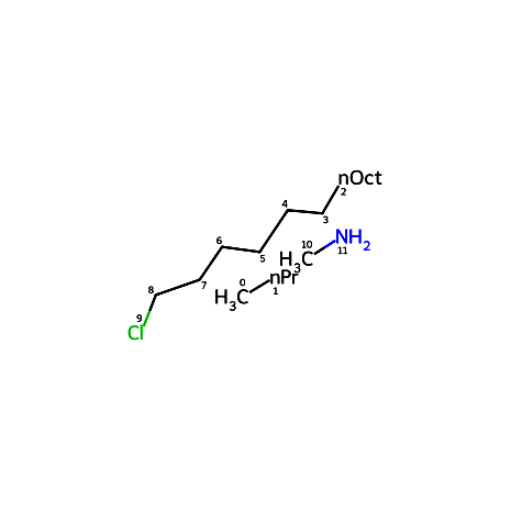 CCCC.CCCCCCCCCCCCCCCl.CN